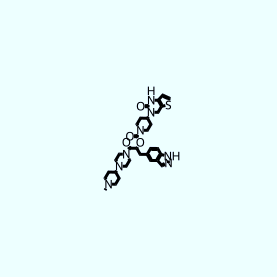 CN1CCC(N2CCN(C(=O)C(Cc3ccc4[nH]ncc4c3)OC(=O)N3CCC(N4Cc5sccc5NC4=O)CC3)CC2)CC1